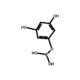 OB(O)Oc1cc(O)cc(O)c1